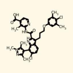 Cc1cc(OCCCc2c(C(=O)Nc3nccc(C(=O)O)c3C)[nH]c3c(-c4c(C)nn(C)c4C)c(Cl)ccc23)cc(C)c1Cl